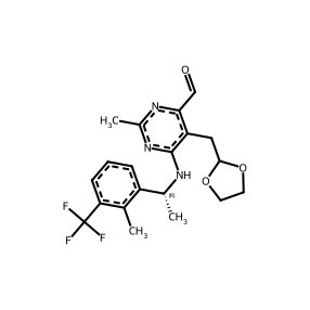 Cc1nc(C=O)c(CC2OCCO2)c(N[C@H](C)c2cccc(C(F)(F)F)c2C)n1